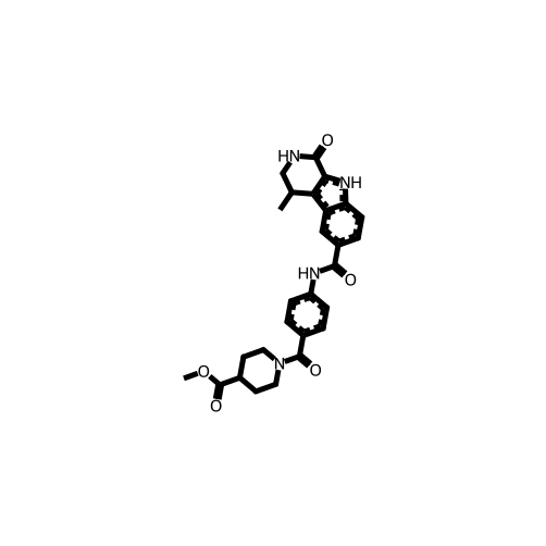 COC(=O)C1CCN(C(=O)c2ccc(NC(=O)c3ccc4[nH]c5c(c4c3)C(C)CNC5=O)cc2)CC1